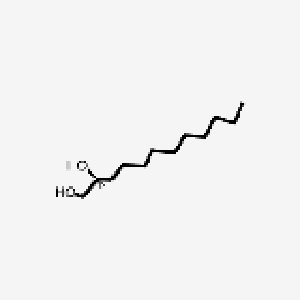 CCCCCCCCCC[C@H](O)CO